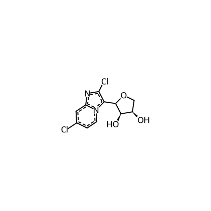 O[C@@H]1COC(c2c(Cl)nc3cc(Cl)ccn23)[C@@H]1O